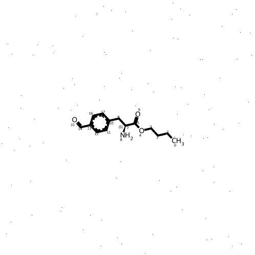 CCCCOC(=O)[C@@H](N)Cc1ccc(C=O)cc1